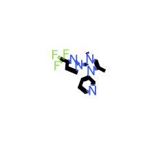 CC1=CN(C)C(n2ccc(C(F)(F)F)n2)N1c1cccnc1